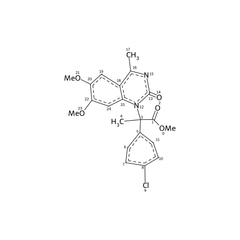 COC(=O)C(C)(c1ccc(Cl)cc1)n1c(=O)nc(C)c2cc(OC)c(OC)cc21